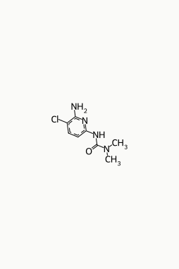 CN(C)C(=O)Nc1ccc(Cl)c(N)n1